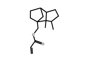 C=CC(=O)OCC12CCC(C1)C1CCC(C)C12C